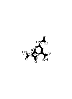 CC(=O)NC1C=C(C(=O)O)N2C(=O)[C@@H](C(N)=O)[C@@H]2S1